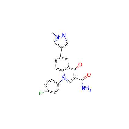 Cn1cc(-c2ccc3c(c2)c(=O)c(C(N)=O)cn3-c2ccc(F)cc2)cn1